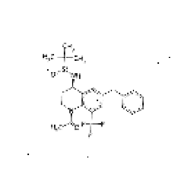 CC(=O)N1CC[C@@H](N[S+]([O-])C(C)(C)C)c2cc(Cc3ccccc3)cc(C(F)(F)F)c21